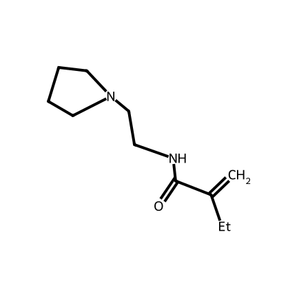 C=C(CC)C(=O)NCCN1CCCC1